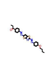 CCCCOc1ccc(N=Nc2nc3sc(N=Nc4ccc(C(=O)CC)cc4)cc3s2)cc1